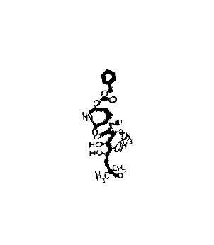 CO[C@@H](C(=O)N[C@H]1CC[C@@H](OC(=O)OCc2ccccc2)CNC1=O)[C@H](O)[C@@H](O)[C@H](O)/C=C/C(C)(C)C=O